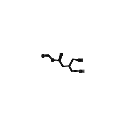 O=COC(=O)CC(CO)CO